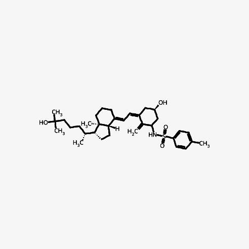 C=C1/C(=C\C=C2/CCC[C@]3(C)[C@@H]([C@H](C)CCCC(C)(C)O)CC[C@@H]23)C[C@@H](O)CC1NS(=O)(=O)c1ccc(C)cc1